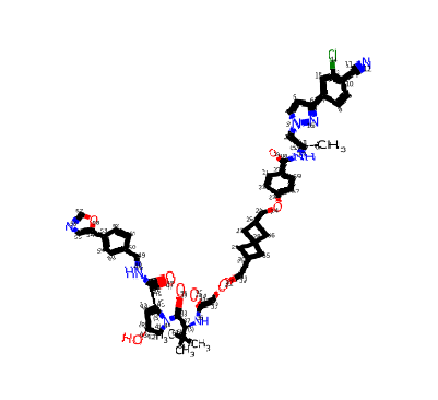 C[C@@H](Cn1ccc(-c2ccc(C#N)c(Cl)c2)n1)NC(=O)c1ccc(OCC2CC3(CC(COCC(=O)N[C@H](C(=O)N4C[C@H](O)C[C@H]4C(=O)NCc4ccc(-c5cnco5)cc4)C(C)(C)C)C3)C2)cc1